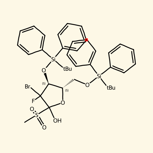 CC(C)(C)[Si](OC[C@@H]1OC(O)(S(C)(=O)=O)C(F)(Br)[C@H]1O[Si](c1ccccc1)(c1ccccc1)C(C)(C)C)(c1ccccc1)c1ccccc1